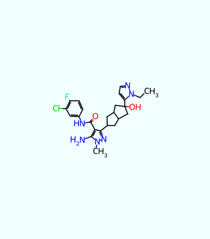 CCn1nccc1C1(O)CC2CC(c3nn(C)c(N)c3C(=O)Nc3ccc(F)c(Cl)c3)CC2C1